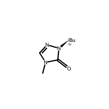 CC[C@H](C)n1ncn(C)c1=O